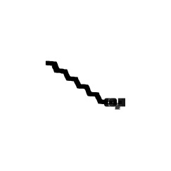 CC=CCCCCCCCCC(=O)O